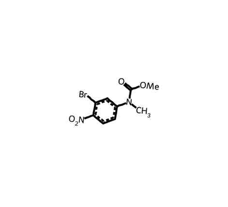 COC(=O)N(C)c1ccc([N+](=O)[O-])c(Br)c1